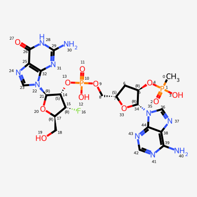 CP(=O)(O)O[C@@H]1C[C@@H](COP(=O)(O)O[C@@H]2[C@H](F)[C@@H](CO)O[C@H]2n2cnc3c(=O)[nH]c(N)nc32)O[C@H]1n1cnc2c(N)ncnc21